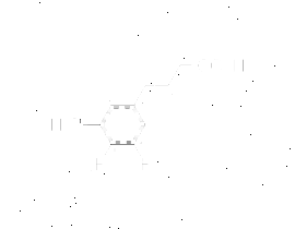 O=C(O)CCCc1cc(F)c(F)c(P)c1